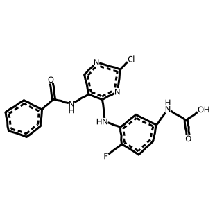 O=C(O)Nc1ccc(F)c(Nc2nc(Cl)ncc2NC(=O)c2ccccc2)c1